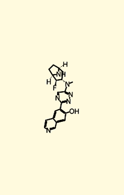 CN(c1cnc(-c2cc3ccncc3cc2O)nn1)[C@H]1C[C@@H]2CC[C@@H](N2)[C@@H]1F